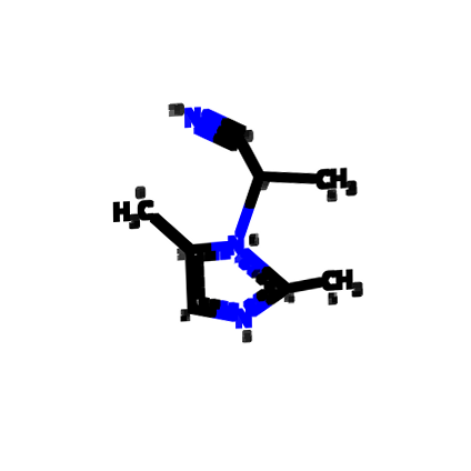 Cc1cnc(C)n1C(C)C#N